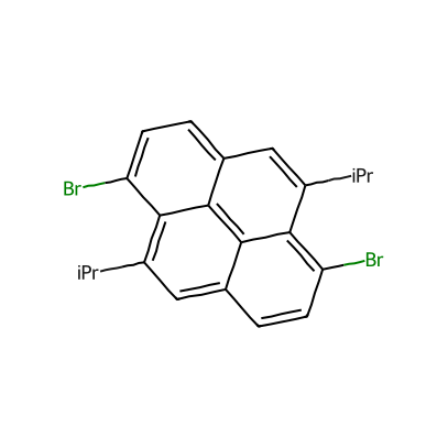 CC(C)c1cc2ccc(Br)c3c(C(C)C)cc4ccc(Br)c1c4c23